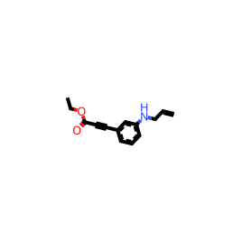 C=CCNc1cccc(C#CC(=O)OCC)c1